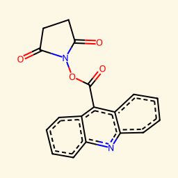 O=C(ON1C(=O)CCC1=O)c1c2ccccc2nc2ccccc12